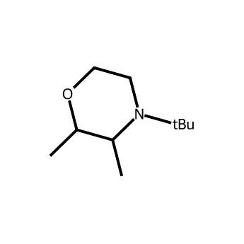 CC1OCCN(C(C)(C)C)C1C